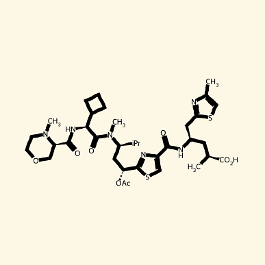 CC(=O)O[C@H](C[C@H](C(C)C)N(C)C(=O)[C@@H](NC(=O)[C@H]1COCCN1C)C1CCC1)c1nc(C(=O)N[C@@H](Cc2nc(C)cs2)C[C@H](C)C(=O)O)cs1